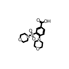 O=C(O)c1ccc(N2CCOCC2)c(S(=O)(=O)N2CCOCC2)c1